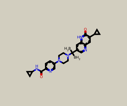 BC(B)(c1cnc2cc(C3CC3)c(=O)[nH]c2c1)N1CCN(c2ccc(C(=O)NC3CC3)nc2)CC1